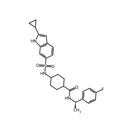 C[C@@H](NC(=O)C1CCC(NS(=O)(=O)c2ccc3cc(C4CC4)[nH]c3c2)CC1)c1ccc(F)cc1